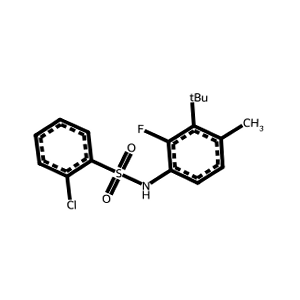 Cc1ccc(NS(=O)(=O)c2ccccc2Cl)c(F)c1C(C)(C)C